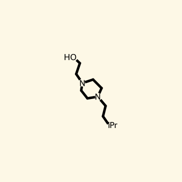 CC(C)CCN1CCN(CCO)CC1